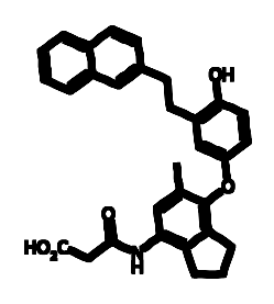 Cc1cc(NC(=O)CC(=O)O)c2c(c1Oc1ccc(O)c(CCc3ccc4ccccc4c3)c1)CCC2